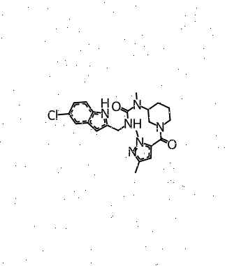 Cc1cc(C(=O)N2CCCC(N(C)C(=O)NCc3cc4cc(Cl)ccc4[nH]3)C2)n(C)n1